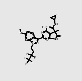 COc1ccc2c(-c3nc(N)c4c(n3)NC(=O)C4(C)C(=O)NC3CC3)nn(CCC(F)(F)C(F)(F)F)c2n1